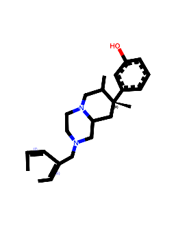 C/C=C\C(=C/C)CN1CCN2CC(C)[C@](C)(c3cccc(O)c3)CC2C1